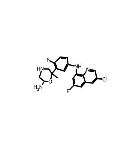 CC1(c2cc(Nc3cc(F)cc4cc(Cl)cnc34)ccc2F)CNC[C@H](N)O1